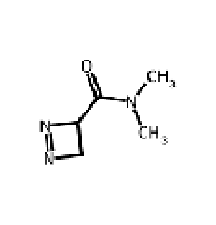 CN(C)C(=O)C1CN=N1